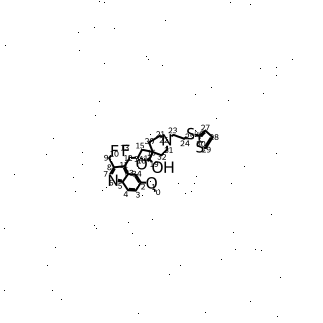 COc1ccc2ncc(CF)c([C@@H](F)CCC3(C(=O)O)CCN(CCSc4cccs4)CC3)c2c1